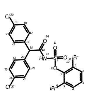 CC(C)c1cccc(C(C)C)c1OS(=O)(=O)NC(=O)C(c1ccc(Cl)cc1)c1ccc(Cl)cc1